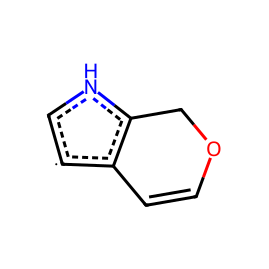 [c]1c[nH]c2c1C=COC2